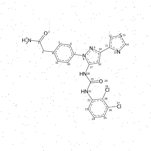 NC(=O)Cc1ccc(-n2nc(-c3cscn3)cc2NC(=O)Nc2cccc(Cl)c2Cl)cc1